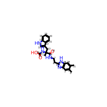 Cc1cc2nc(CCNC(=O)C(C)(Cc3c[nH]c4ccccc34)NC(=O)O)[nH]c2cc1C